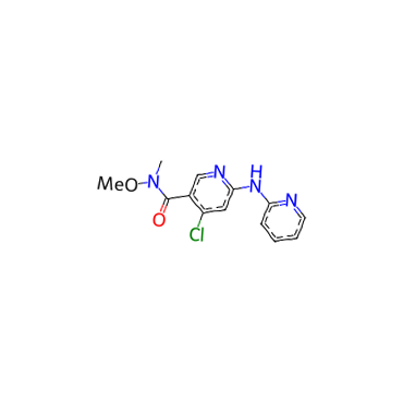 CON(C)C(=O)c1cnc(Nc2ccccn2)cc1Cl